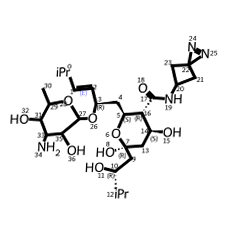 CC(C)/C=C/[C@@H](C[C@@H]1O[C@](O)(C[C@@H](O)C(C)C)C[C@H](O)[C@H]1C(=O)NC1CC2(C1)N=N2)OC1OC(C)C(O)C(N)C1O